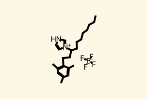 CCCCCCCCC(CCc1c(C)cc(C)cc1C)[n+]1cc[nH]c1.F[B-](F)(F)F